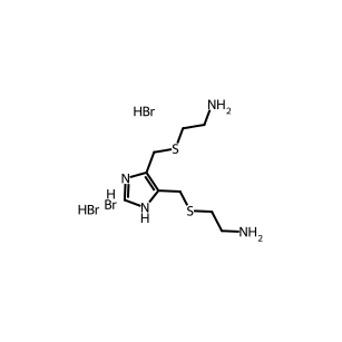 Br.Br.Br.NCCSCc1nc[nH]c1CSCCN